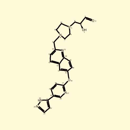 O=C[C@@H](O)CN1CCN(Cc2ccc3cc(Oc4ccc(-c5ccn[nH]5)cn4)ccc3n2)CC1